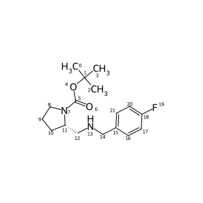 CC(C)(C)OC(=O)N1CCC[C@H]1CNCc1ccc(F)cc1